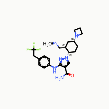 C=NC[C@H]1C[C@H](N2CCC2)CC[C@@H]1n1cc(C(N)=O)c(Nc2ccc(CC(F)(F)F)cc2)n1